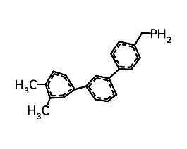 Cc1ccc(-c2cccc(-c3ccc(CP)cc3)c2)cc1C